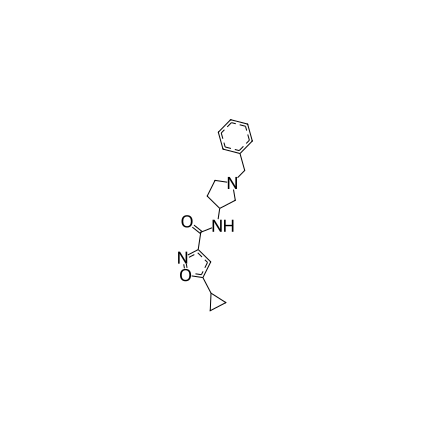 O=C(NC1CCN(Cc2ccccc2)C1)c1cc(C2CC2)on1